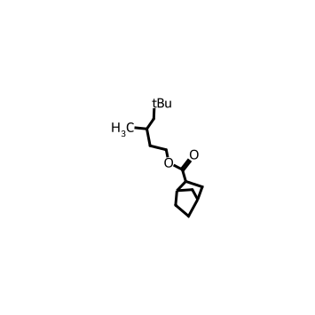 CC(CCOC(=O)C1CC2CCC1C2)CC(C)(C)C